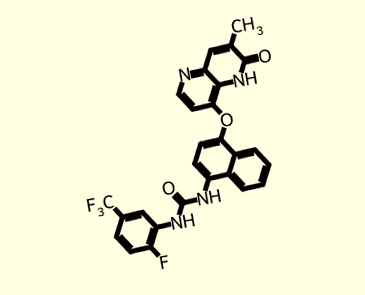 Cc1cc2nccc(Oc3ccc(NC(=O)Nc4cc(C(F)(F)F)ccc4F)c4ccccc34)c2[nH]c1=O